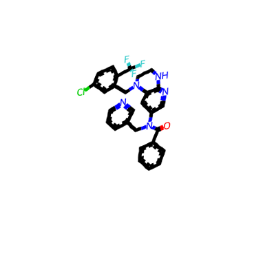 O=C(c1ccccc1)N(Cc1cccnc1)c1cnc2c(c1)N(Cc1cc(Cl)ccc1C(F)(F)F)CCN2